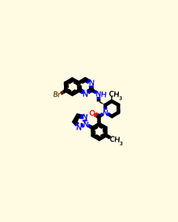 Cc1ccc(-n2nccn2)c(C(=O)N2CCC[C@@H](C)[C@H]2CNc2ncc3ccc(Br)cc3n2)c1